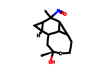 CC1(N=O)C2C3CCC[C@](C)(O)CC(C32)[C@@H]2CC21